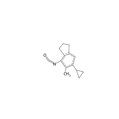 Cc1c(C2CC2)cc2c(c1N=C=O)CCC2